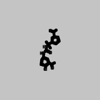 CC(=O)c1cccc(C(C)(C)NC(=O)Nc2ccc(Cl)c(C(C)=O)c2)c1